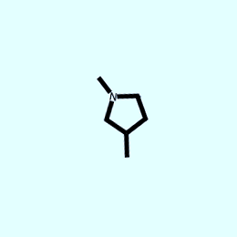 CC1C[CH]N(C)C1